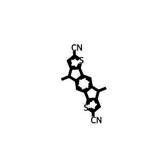 CC1c2cc3c(cc2-c2sc(C#N)cc21)C(C)c1cc(C#N)sc1-3